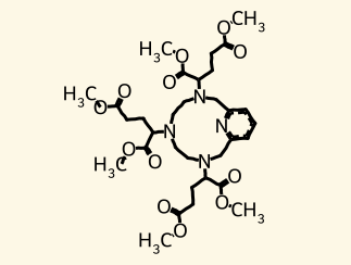 COC(=O)CCC(C(=O)OC)N1CCN(C(CCC(=O)OC)C(=O)OC)Cc2cccc(n2)CN(C(CCC(=O)OC)C(=O)OC)CC1